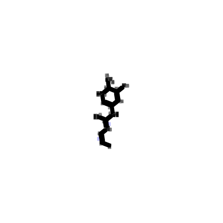 C/C=C\N=C(/CC)NC1=CNC(C(F)(F)F)C(F)=C1